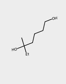 CCC(C)(O)CCCCO